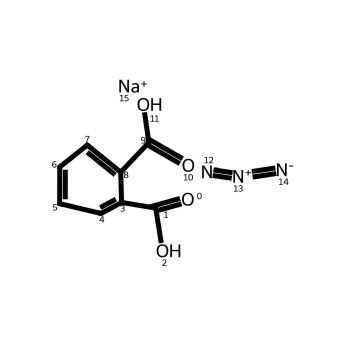 O=C(O)c1ccccc1C(=O)O.[N-]=[N+]=[N-].[Na+]